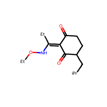 CCON/C(CC)=C1/C(=O)CCC(CC(C)C)C1=O